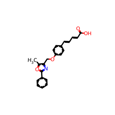 Cc1oc(-c2ccccc2)nc1COc1ccc(/C=C/C=C/C(=O)O)cc1